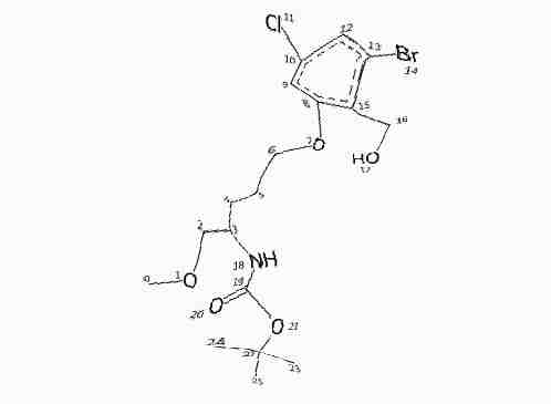 COCC(CCCOc1cc(Cl)cc(Br)c1CO)NC(=O)OC(C)(C)C